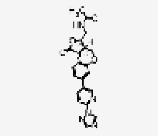 CC(=O)NC[C@@H]1OC(=O)N2c3ccc(-c4ccc(-n5cncn5)nc4)cc3OC[C@@H]12